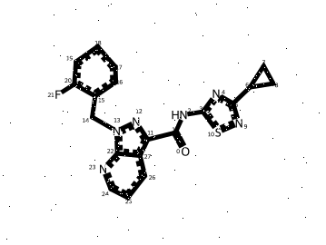 O=C(Nc1nc(C2CC2)ns1)c1nn(Cc2ccccc2F)c2ncccc12